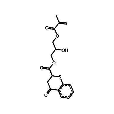 C=C(C)C(=O)OCC(O)COC(=O)C1CC(=O)c2ccccc2S1